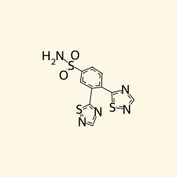 NS(=O)(=O)c1ccc(-c2ncns2)c(-c2ncns2)c1